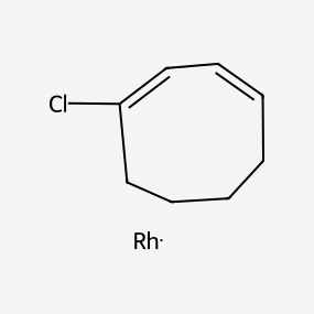 ClC1=CC=CCCCC1.[Rh]